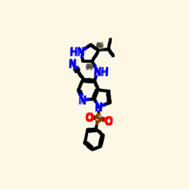 CC(C)[C@@H]1CNC[C@@H]1Nc1c(C#N)cnc2c1ccn2S(=O)(=O)c1ccccc1